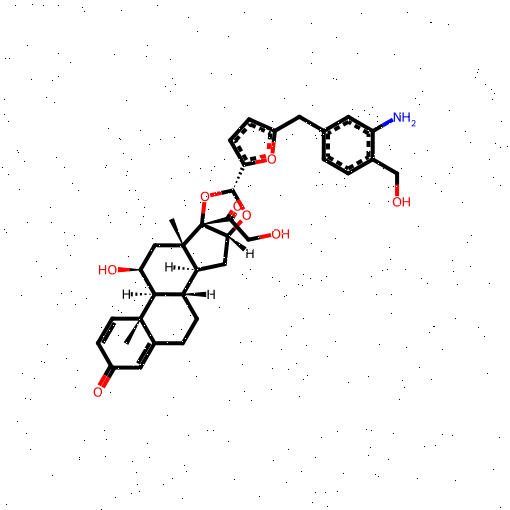 C[C@]12C=CC(=O)C=C1CC[C@@H]1[C@@H]2[C@@H](O)C[C@@]2(C)[C@H]1C[C@H]1O[C@@H](c3ccc(Cc4ccc(CO)c(N)c4)o3)O[C@]12C(=O)CO